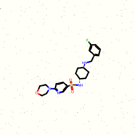 O=S(=O)(N[C@H]1CC[C@H](NCc2cccc(F)c2)CC1)c1ccc(N2CCOCC2)nc1